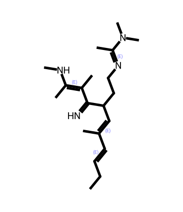 CC/C=C/C(C)=C/C(CC/N=C(\C)N(C)C)C(=N)/C(C)=C(\C)NC